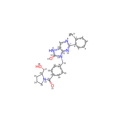 CC(C)c1ccccc1-c1ncc2[nH]c(=O)n(Cc3ccc(C(=O)N4CCCC4CO)cc3)c2n1